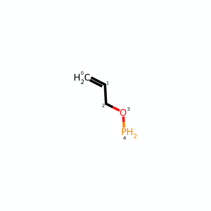 C=CCOP